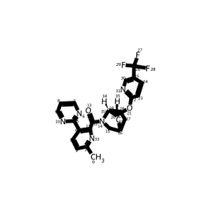 Cc1ccc(-c2ncccn2)c(C(=O)N2CC3CC[C@H]2[C@H](Oc2ccc(C(F)(F)F)cn2)C3)n1